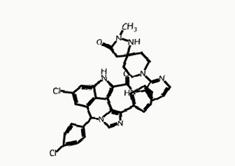 CN1NC2(CCN(c3ncccc3NC(=O)c3[nH]c4cc(Cl)cc5c4c3-c3c(-c4ccccc4)ncn3C5c3ccc(Cl)cc3)CC2)CC1=O